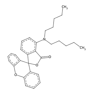 CCCCCN(CCCCC)c1cccc2c1C(=O)OC21c2ccccc2Oc2ccccc21